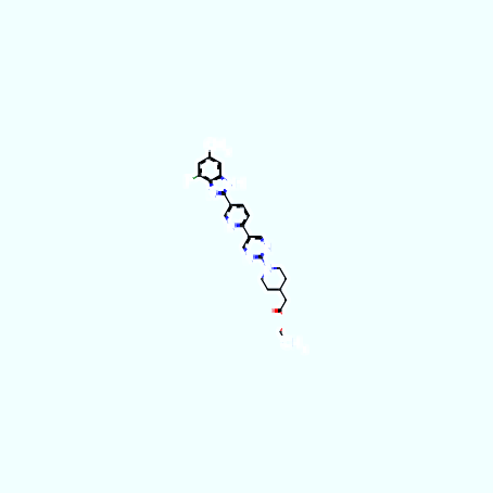 CCOC(=O)CC1CCN(c2ncc(-c3ccc(-c4nc5c(F)cc(C)cc5[nH]4)cn3)cn2)CC1